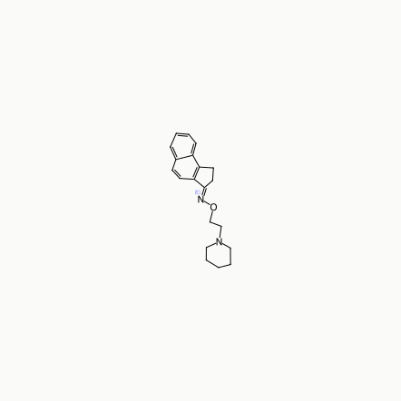 c1ccc2c3c(ccc2c1)/C(=N/OCCN1CCCCC1)CC3